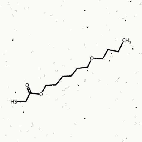 CCCCOCCCCCCOC(=O)CS